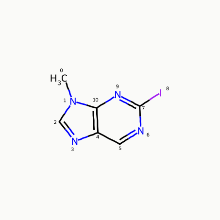 Cn1cnc2cnc(I)nc21